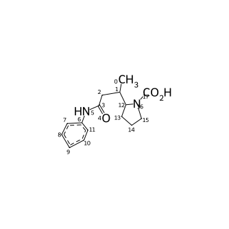 CC(CC(=O)Nc1ccccc1)C1CCCN1C(=O)O